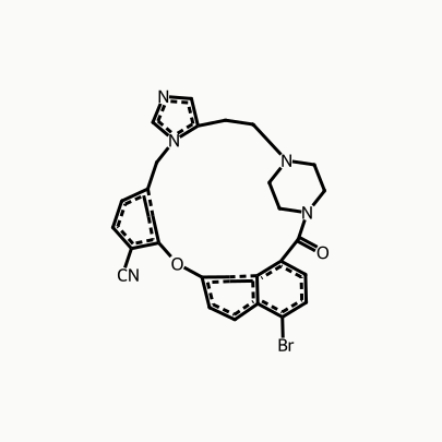 N#Cc1ccc2cc1Oc1ccc3c(Br)ccc(c3c1)C(=O)N1CCN(CCc3cncn3C2)CC1